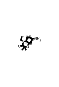 CCN1C(=O)C(C)(C)Oc2cc(N)ccc21